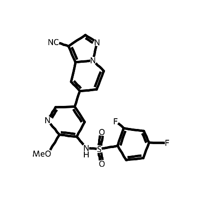 COc1ncc(-c2ccn3ncc(C#N)c3c2)cc1NS(=O)(=O)c1ccc(F)cc1F